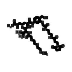 COCCOCCOCC(=O)N[C@H](C(=O)N[C@@H](CCCNC(N)=O)C(=O)Nc1ccc(CO)c(OCC(=O)NCCCNC(=O)CCN2C(=O)C=CC2=O)c1)C(C)C